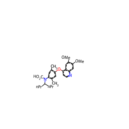 CCCC(CCC)N(C(=O)O)c1cc(C)c(Oc2ccnc3cc(OC)c(OC)cc23)cc1C